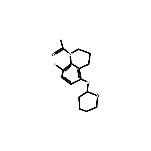 CC(=O)N1CCCc2c(OC3CCCCO3)ccc(F)c21